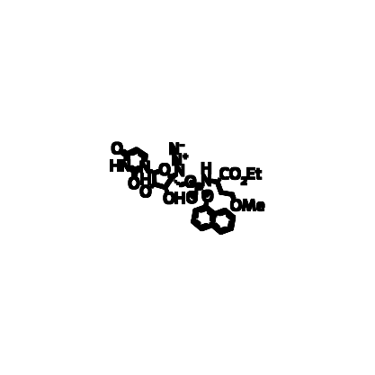 CCOC(=O)[C@H](CCOC)NP(=O)(OC[C@@]1(N=[N+]=[N-])O[C@@H](n2ccc(=O)[nH]c2=O)[C@H](O)[C@@H]1O)Oc1cccc2ccccc12